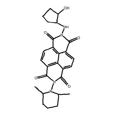 CC1CCCC(C)N1N1C(=O)c2ccc3c4c(ccc(c24)C1=O)C(=O)N(NC1CCCC1O)C3=O